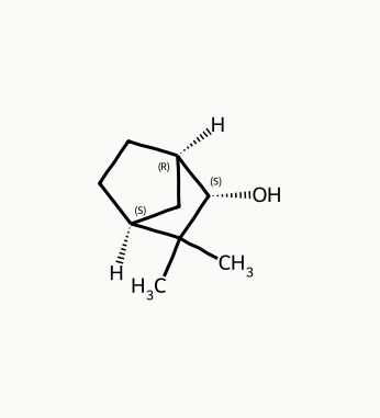 CC1(C)[C@H]2CC[C@H](C2)[C@@H]1O